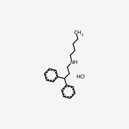 CCCCCNCCC(c1ccccc1)c1ccccc1.Cl